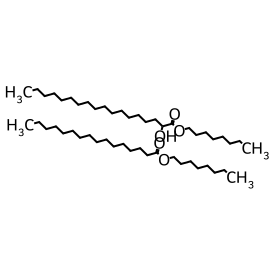 CCCCCCCCCCCCCCCC(=O)OCCCCCCCC.CCCCCCCCCCCCCCCCC(O)C(=O)OCCCCCCCC